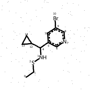 CCSNC(c1cncc(Br)c1)C1CC1